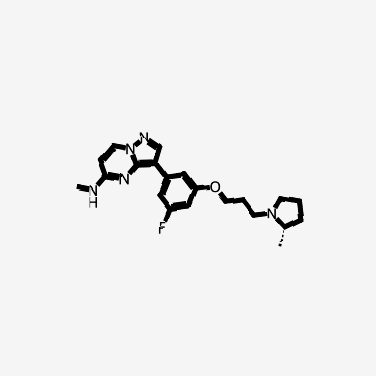 CNc1ccn2ncc(-c3cc(F)cc(OCCCN4CCC[C@@H]4C)c3)c2n1